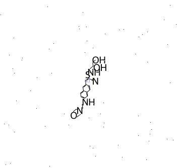 N#C/C(=C\c1ccc2cc(NCCN3CCOCC3)ccc2c1)SNCC(O)CO